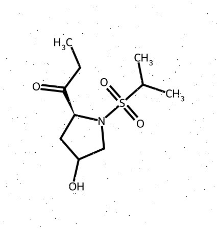 CCC(=O)[C@@H]1CC(O)CN1S(=O)(=O)C(C)C